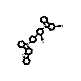 N#Cc1ccc2c(c1)c1ccccc1n2-c1ccc(-c2ccc(-n3c4ccccc4c4c5oc6ccccc6c5ccc43)cc2)c(C#N)c1